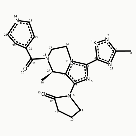 Cc1nsc(-c2nc(N3CCCC3=O)c3n2CCN(C(=O)c2ccncc2)[C@@H]3C)n1